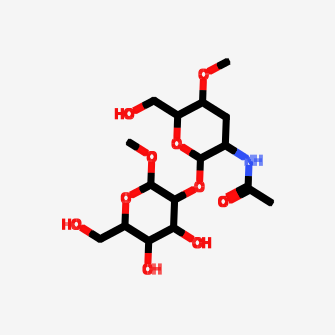 COC1CC(NC(C)=O)C(OC2C(OC)OC(CO)C(O)C2O)OC1CO